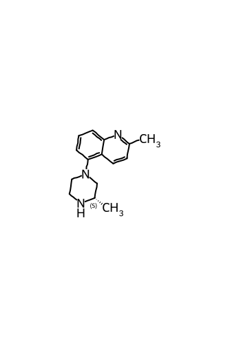 Cc1ccc2c(N3CCN[C@@H](C)C3)cccc2n1